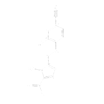 Cn1c([N+](=O)[O-])cnc1COc1ccc(C#N)cc1Br